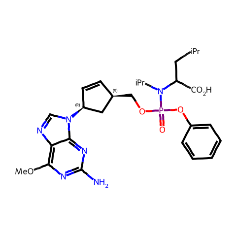 COc1nc(N)nc2c1ncn2[C@H]1C=C[C@@H](COP(=O)(Oc2ccccc2)N(C(C)C)C(CC(C)C)C(=O)O)C1